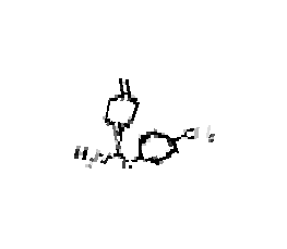 Cc1ccc(N=C(N)N2CCNCC2)cc1